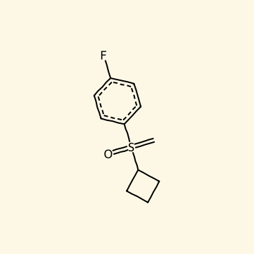 C=S(=O)(c1ccc(F)cc1)C1CCC1